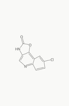 O=c1[nH]c2cnc3ccc(Cl)cc3c2o1